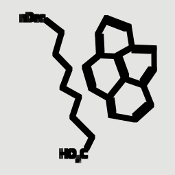 CCCCCCCCCCCCCCCCCC(=O)O.c1cc2ccc3cccc4ccc(c1)c2c34